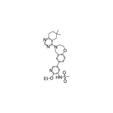 CCOc1ncc(-c2ccc3c(c2)CN(c2ncnc4c2CC(C)(C)CC4)CCO3)cc1NS(C)(=O)=O